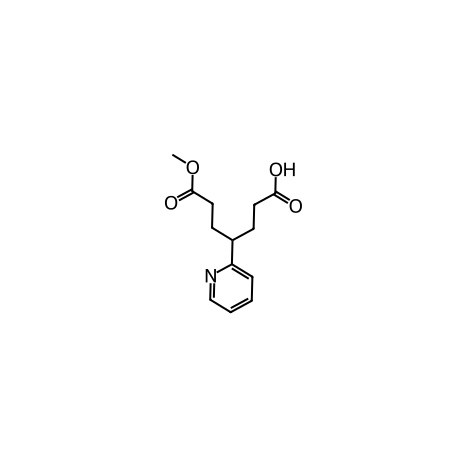 COC(=O)CCC(CCC(=O)O)c1ccccn1